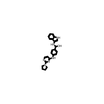 OC(Nc1c[nH]c2ccccc12)c1ccc(Nc2ccnc(N3CCCC3)n2)cc1